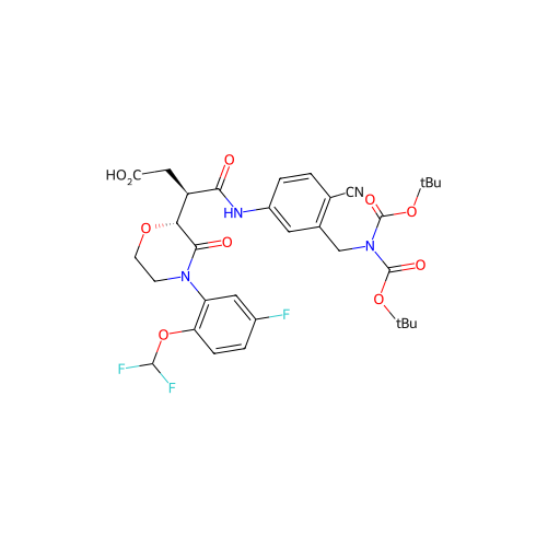 CC(C)(C)OC(=O)N(Cc1cc(NC(=O)[C@H](CC(=O)O)[C@H]2OCCN(c3cc(F)ccc3OC(F)F)C2=O)ccc1C#N)C(=O)OC(C)(C)C